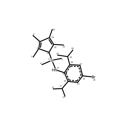 CC1=C(C)C([Si](C)(C)Nc2c(C(C)C)cc(Br)cc2C(C)C)C(C)=C1C